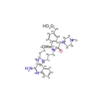 COCCc1nc2c(N)nc3ccccc3c2n1CCCN(Cc1ccc(CC(=O)O)cc1)C(=O)CN1CCN(C)CC1